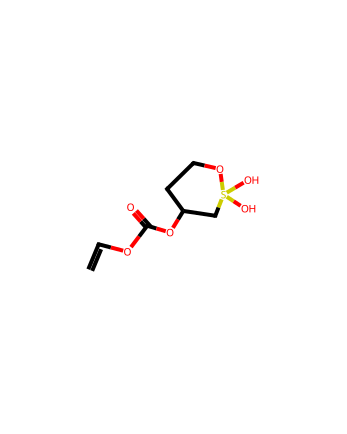 C=COC(=O)OC1CCOS(O)(O)C1